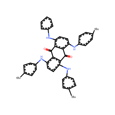 CC(C)(C)c1ccc(Nc2ccc(Nc3ccccc3)c3c2C(=O)c2c(Nc4ccc(C(C)(C)C)cc4)ccc(Nc4ccc(C(C)(C)C)cc4)c2C3=O)cc1